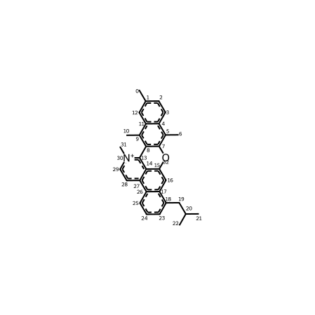 Cc1ccc2c(C)c3c(c(C)c2c1)-c1c2c(cc4c(CC(C)C)cccc4c2cc[n+]1C)O3